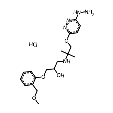 COCc1ccccc1OCC(O)CNC(C)(C)COc1ccc(NN)nn1.Cl